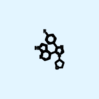 Fc1ccc(-c2ncn(C3CCOC3)c2-c2ccnc3[nH]ccc23)cc1